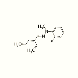 C=C/C=C(\C=C)C=NN(C)c1ccccc1F